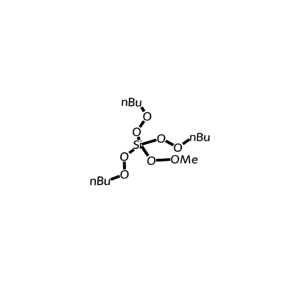 CCCCOO[Si](OOC)(OOCCCC)OOCCCC